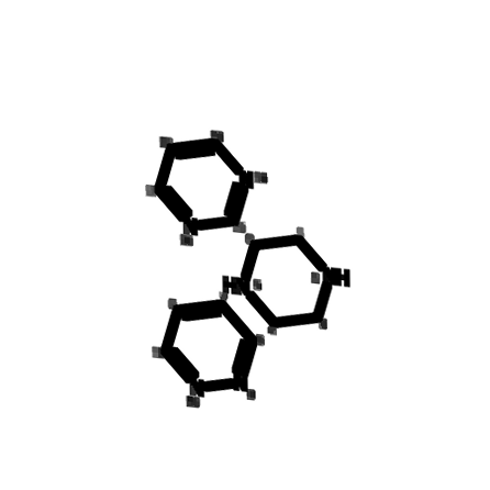 C1CNCCN1.c1ccnnc1.c1cncnc1